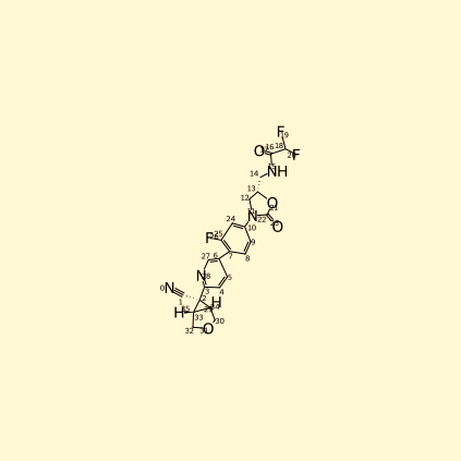 N#C[C@]1(c2ccc(-c3ccc(N4C[C@H](CNC(=O)C(F)F)OC4=O)cc3F)cn2)[C@@H]2COC[C@@H]21